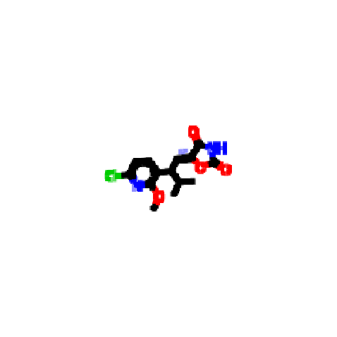 COc1nc(Cl)ccc1C(/C=C1\OC(=O)NC1=O)C(C)C